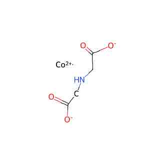 O=C([O-])CNCC(=O)[O-].[Co+2]